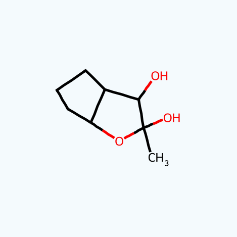 CC1(O)OC2CCCC2C1O